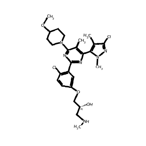 CNC[C@@H](O)COc1ccc(Cl)c(-c2nc(-c3c(C)c(Cl)nn3C)c(C)c(N3CCC(OC)CC3)n2)c1